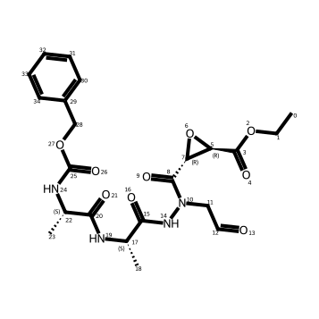 CCOC(=O)[C@@H]1O[C@H]1C(=O)N(CC=O)NC(=O)[C@H](C)NC(=O)[C@H](C)NC(=O)OCc1ccccc1